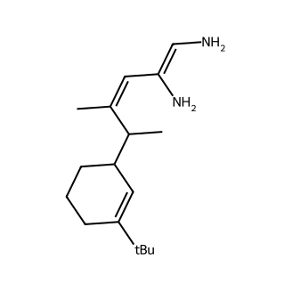 C/C(=C/C(N)=C/N)C(C)C1C=C(C(C)(C)C)CCC1